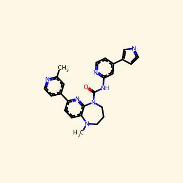 Cc1cc(-c2ccc3c(n2)N(C(=O)Nc2cc(C4=CN=C=C4)ccn2)CCCN3C)ccn1